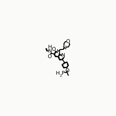 C=CNC(=O)c1cc2cc(-c3ccc(OC(C)P)cc3)cnc2n(CCN2CCOCC2)c1=O